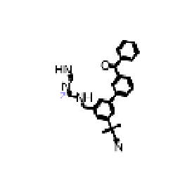 CC(C)(C#N)c1cc(CN/C=N\C=N)cc(-c2cccc(C(=O)c3ccccc3)c2)c1